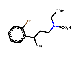 COCN(CCC(c1ccccc1Br)C(C)(C)C)C(=O)O